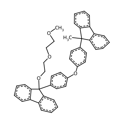 COCCOCCOC1(c2ccc(Oc3ccc(C4(C)c5ccccc5-c5ccccc54)cc3)cc2)c2ccccc2-c2ccccc21